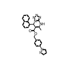 CC1=C(C(=O)OCc2ccc(-n3cccn3)cc2)C(c2cccc3ccccc23)n2nnnc2N1